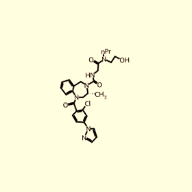 CCCN(CCO)C(=O)CNC(=O)N1Cc2ccccc2N(C(=O)c2ccc(-n3cccn3)cc2Cl)C[C@H]1C